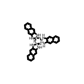 c1ccc2cc3c(cc2c1)NP1(=NP2(=NP4(=N1)Nc1cc5ccccc5cc1N4)Nc1cc4ccccc4cc1N2)N3